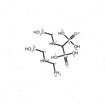 O=C(O)CNC(P(=O)(O)O)P(=O)(O)O.O=C(O)CNCP